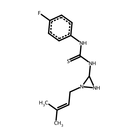 CC(C)=CCN1NC1NC(=S)Nc1ccc(F)cc1